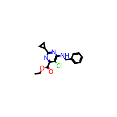 CCOC(=O)c1nc(C2CC2)nc(NCc2ccccc2)c1Cl